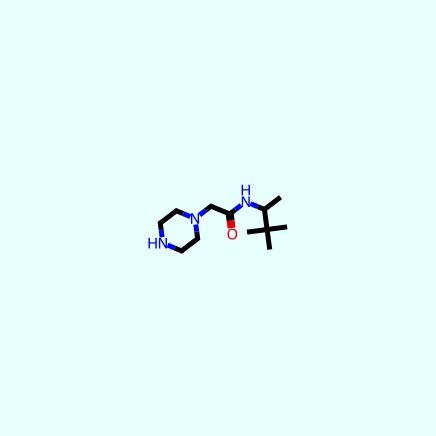 CC(NC(=O)CN1CCNCC1)C(C)(C)C